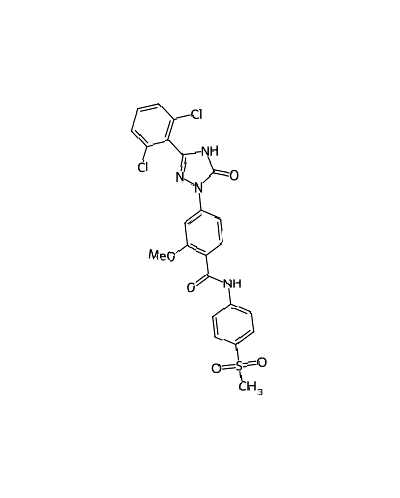 COc1cc(-n2nc(-c3c(Cl)cccc3Cl)[nH]c2=O)ccc1C(=O)Nc1ccc(S(C)(=O)=O)cc1